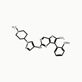 COc1ccccc1-c1c(C)sc2cnc(Nc3cnn(C4CCN(C)CC4)c3)nc12